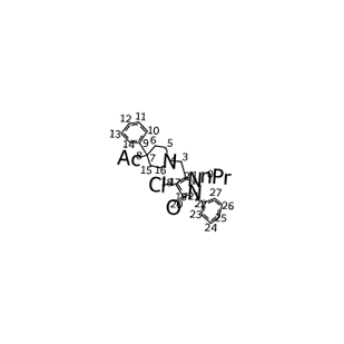 CCCn1c(CN2CCC(C(C)=O)(c3ccccc3)CC2)c(Cl)c(=O)n1-c1ccccc1